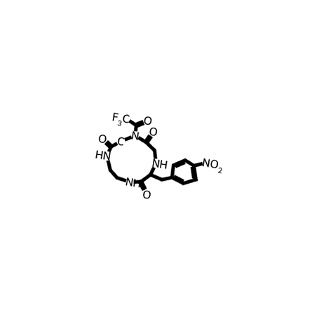 O=C1CN(C(=O)C(F)(F)F)C(=O)CNC(Cc2ccc([N+](=O)[O-])cc2)C(=O)NCCN1